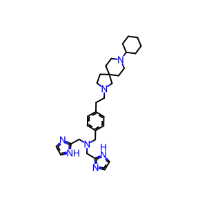 c1c[nH]c(CN(Cc2ccc(CCN3CCC4(CCN(C5CCCCC5)CC4)C3)cc2)Cc2ncc[nH]2)n1